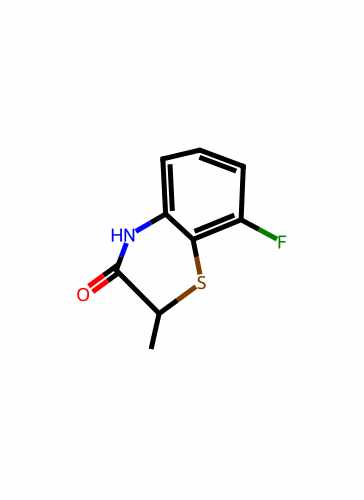 CC1Sc2c(F)cccc2NC1=O